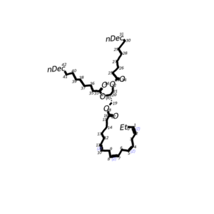 CC/C=C\C/C=C\C/C=C\C/C=C\CCCCC(=O)OC[C@@H](COC(=O)CCCCCCCCCCCCCCCC)OC(=O)CCCCCCCCCCCCCCCCC